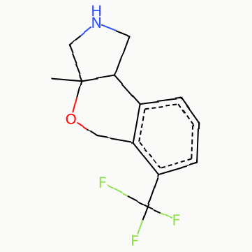 CC12CNCC1c1cccc(C(F)(F)F)c1CO2